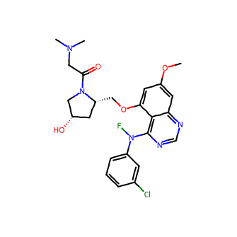 COc1cc(OC[C@@H]2C[C@H](O)CN2C(=O)CN(C)C)c2c(N(F)c3cccc(Cl)c3)ncnc2c1